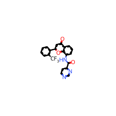 O=C(Nc1cccc2c(=O)cc(-c3ccccc3C(F)(F)F)oc12)c1ccncn1